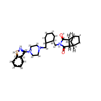 O=C1[C@@H]2[C@@H]3CC[C@@H](C3)[C@@H]2C(=O)N1C[C@@H]1CCCCC1CN1CCN(c2nsc3ccccc23)CC1